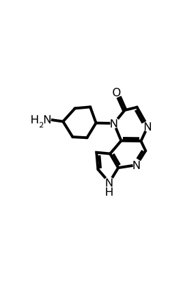 NC1CCC(n2c(=O)cnc3cnc4[nH]ccc4c32)CC1